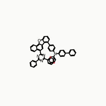 c1ccc(-c2ccc(N(c3ccccc3)c3ccc(-c4cccc5oc6c7ccccc7c(-c7nc(-c8ccccc8)nc(-c8ccccc8)n7)cc6c45)cc3)cc2)cc1